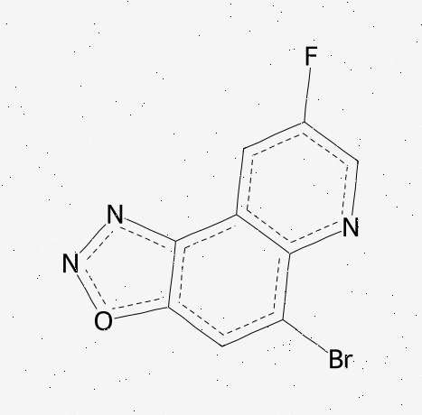 Fc1cnc2c(Br)cc3onnc3c2c1